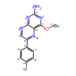 CCC(C)Oc1nc(N)nc2ncc(-c3ccc(F)cc3)nc12